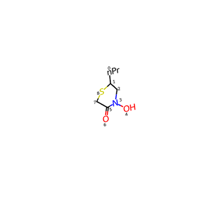 CCCC1CN(O)C(=O)CS1